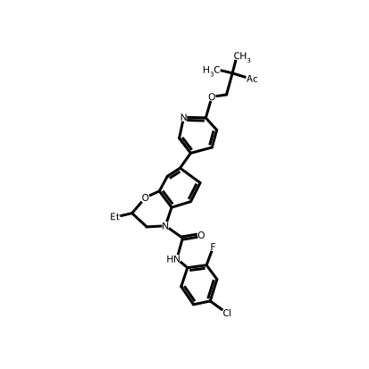 CCC1CN(C(=O)Nc2ccc(Cl)cc2F)c2ccc(-c3ccc(OCC(C)(C)C(C)=O)nc3)cc2O1